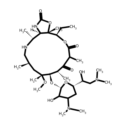 CC[C@H]1OC(=O)C(C)C(=O)[C@H](C)[C@@H](O[C@@H]2O[C@H](C(O)CN(C)C)CC(N(C)C)C2O)[C@](C)(OC)C[C@@H](C)CN[C@H](C)[C@H]2NC(=O)O[C@@]21C